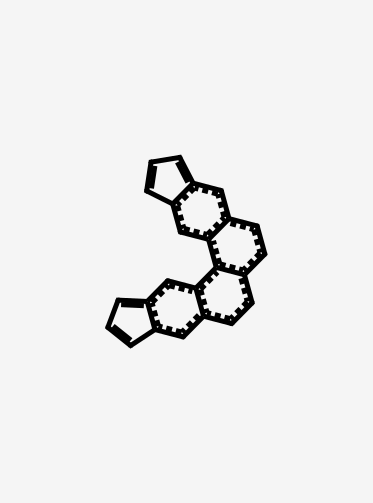 C1=Cc2cc3c(ccc4ccc5cc6c(cc5c43)=CC=C6)cc2=C1